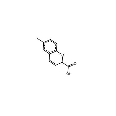 O=C(O)C1C=Cc2cc(I)ccc2O1